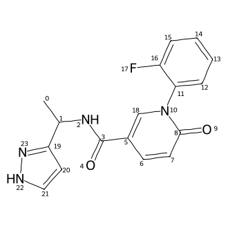 CC(NC(=O)c1ccc(=O)n(-c2ccccc2F)c1)c1cc[nH]n1